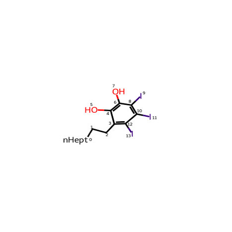 CCCCCCCCCc1c(O)c(O)c(I)c(I)c1I